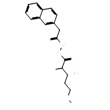 CCSCC[C@@H](N)C(O)C(=O)NNC(=O)Cc1ccc2ccccc2c1